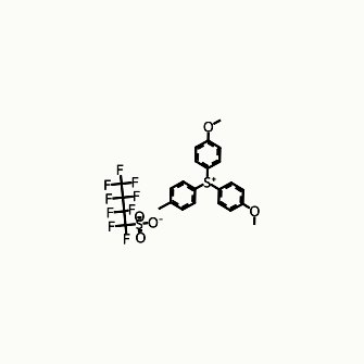 COc1ccc([S+](c2ccc(C)cc2)c2ccc(OC)cc2)cc1.O=S(=O)([O-])C(F)(F)C(F)(F)C(F)(F)C(F)(F)F